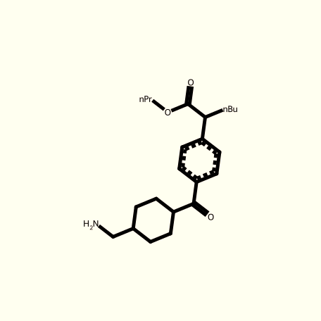 CCCCC(C(=O)OCCC)c1ccc(C(=O)C2CCC(CN)CC2)cc1